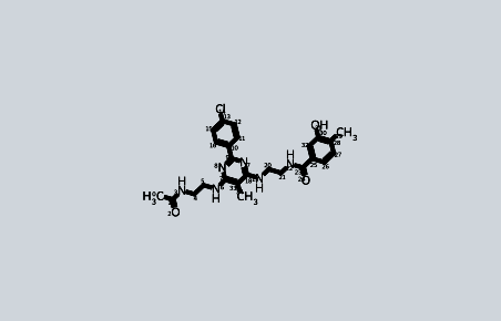 CC(=O)NCCNc1nc(-c2ccc(Cl)cc2)nc(NCCNC(=O)c2ccc(C)c(O)c2)c1C